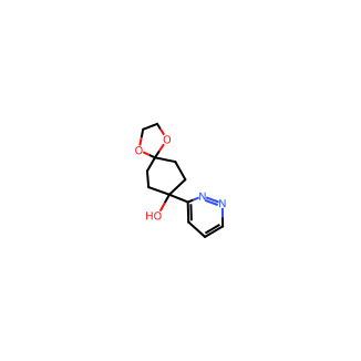 OC1(c2cccnn2)CCC2(CC1)OCCO2